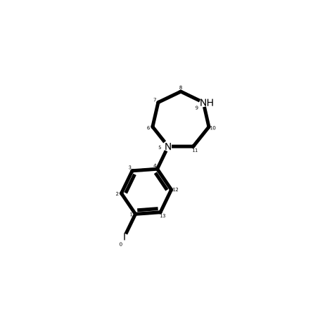 Ic1ccc(N2CCCNCC2)cc1